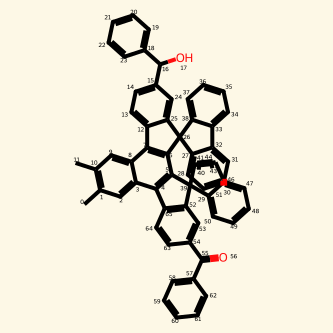 Cc1cc2c3c(c4c(c2cc1C)-c1ccc(C(O)c2ccccc2)cc1C41c2ccccc2-c2ccccc21)C1(c2ccccc2-c2ccccc21)c1cc(C(=O)c2ccccc2)ccc1-3